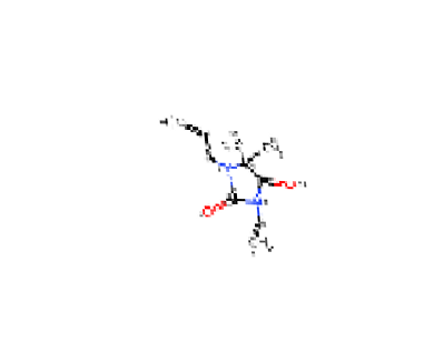 C=CCN1C(=O)N(C=C)C(=O)C1(C)C